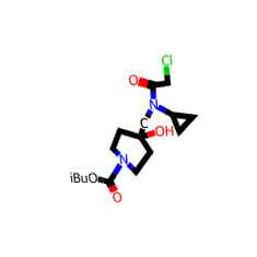 CC(C)COC(=O)N1CCC(O)(CN(C(=O)CCl)C2CC2)CC1